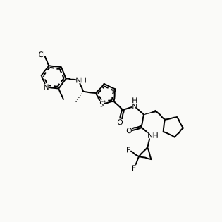 Cc1ncc(Cl)cc1N[C@@H](C)c1ccc(C(=O)N[C@@H](CC2CCCC2)C(=O)NC2CC2(F)F)s1